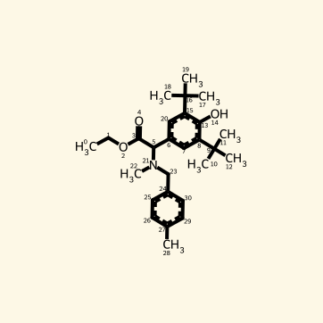 CCOC(=O)C(c1cc(C(C)(C)C)c(O)c(C(C)(C)C)c1)N(C)Cc1ccc(C)cc1